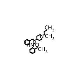 CCCC(C)N1CCC(N(Cc2ccccc2)C(=O)Nc2ccccc2CC)CC1